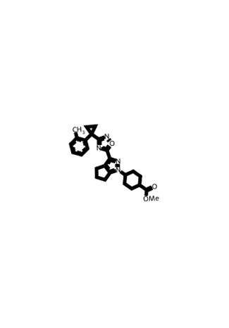 COC(=O)C1CCC(n2nc(-c3nc(C4(c5ccccc5C)CC4)no3)c3c2CCC3)CC1